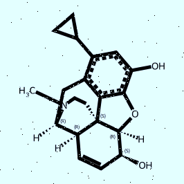 CN1CC[C@]23c4c5c(C6CC6)cc(O)c4O[C@H]2[C@@H](O)C=C[C@H]3[C@H]1C5